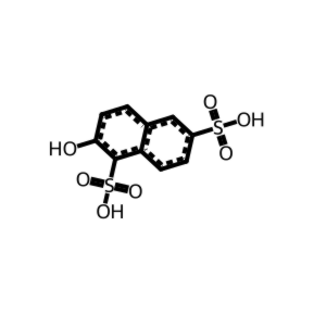 O=S(=O)(O)c1ccc2c(S(=O)(=O)O)c(O)ccc2c1